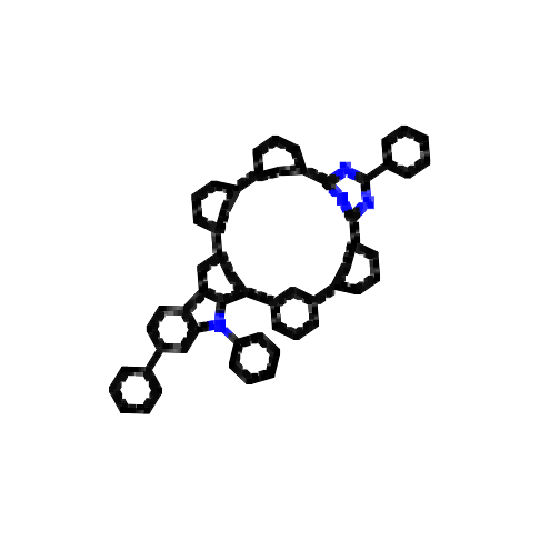 c1ccc(-c2ccc3c4cc5cc(c6cccc(c6)c6cccc(c6)c6nc(-c7ccccc7)nc(n6)c6cccc(c6)c6cccc5c6)c4n(-c4ccccc4)c3c2)cc1